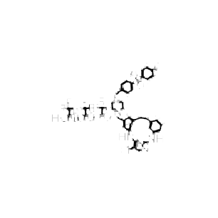 O=C(O)C(F)(F)F.O=C(O)C(F)(F)F.O=C(O)C(F)(F)F.O=S(=O)(c1ccc(Cl)cc1)c1ccc(CN2CCN(Cc3cc4cc(c3)Nc3nc(ncc3Cl)Nc3cccc(c3)CC4)CC2)cc1